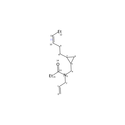 C=CCN(CC1CC1CC/C=C\CC)C(=O)CC